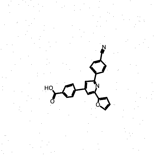 N#Cc1ccc(-c2cc(-c3ccc(C(=O)O)cc3)cc(-c3ccco3)n2)cc1